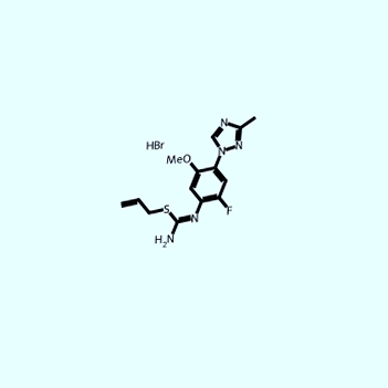 Br.C=CCSC(N)=Nc1cc(OC)c(-n2cnc(C)n2)cc1F